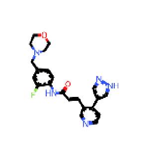 O=C(/C=C/c1cnccc1-c1cn[nH]c1)Nc1ccc(CN2CCOCC2)cc1F